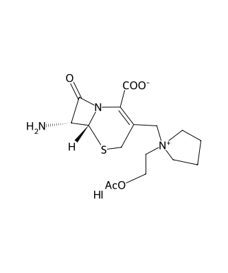 CC(=O)OCC[N+]1(CC2=C(C(=O)[O-])N3C(=O)[C@@H](N)[C@H]3SC2)CCCC1.I